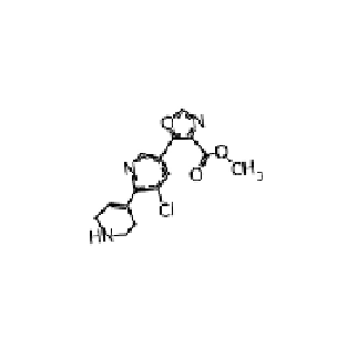 COC(=O)c1ncoc1-c1cnc(C2=CCNCC2)c(Cl)c1